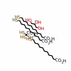 O=C(O)C(S)(S)S.O=C(O)CCCCCCCCCCS.O=C(O)CCCCCCCCCCS.O=C(O)CCCCCCCCCCS.OCC(O)CO